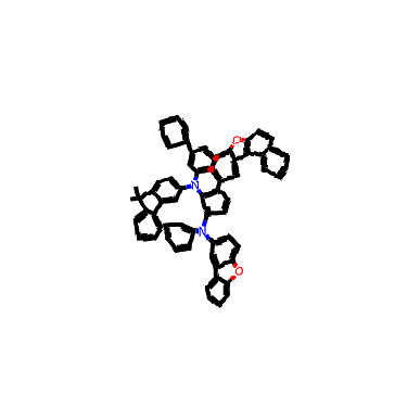 CC1(C)c2ccccc2-c2cc(N(c3cccc(-c4ccccc4)c3)c3cc(N(c4ccccc4)c4ccc5oc6ccccc6c5c4)ccc3-c3ccc4oc5ccc6ccccc6c5c4c3)ccc21